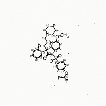 COc1ccc2c(n1)C(CCCN1CCCCC1)(c1ccccc1F)C(=O)N2S(=O)(=O)c1ccc(OC(F)F)cc1